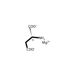 N[C@H](CC(=O)[O-])C(=O)[O-].[Mg+2]